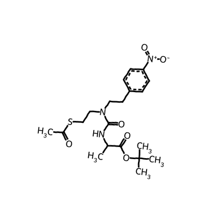 CC(=O)SCCN(CCc1ccc([N+](=O)[O-])cc1)C(=O)NC(C)C(=O)OC(C)(C)C